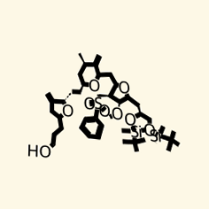 C=C1C(CC2OC(C[C@@H](CO[Si](C)(C)C(C)(C)C)O[Si](C)(C)C(C)(C)C)[C@H](OC)[C@H]2CS(=O)(=O)c2ccccc2)O[C@@H](CC[C@@H]2OC(CCCO)CC2=C)C[C@H]1C